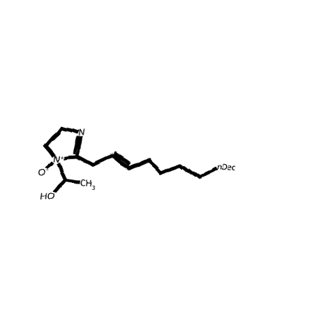 CCCCCCCCCCCCCCC=CCC1=NCC[N+]1([O-])C(C)O